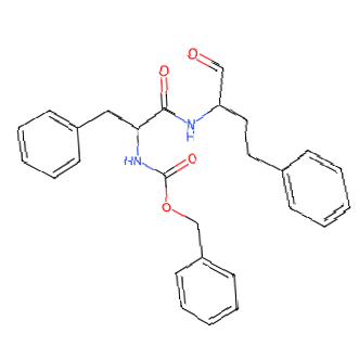 O=CC(CCc1ccccc1)NC(=O)C(Cc1ccccc1)NC(=O)OCc1ccccc1